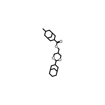 CC1CC2CC(C1)CC(C(=O)OCC1COC(C3CC4CCCC(C4)C3)OC1)C2